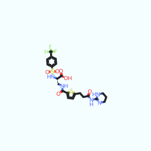 O=C(CCc1ccc(C(=O)NC[C@H](NS(=O)(=O)c2ccc(C(F)(F)F)cc2)C(=O)O)s1)NC1=NCCCN1